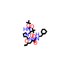 C=CCCC(NC(=O)C1CCCN1C(=O)C(NC(=O)OC(C)(C)C)C(C)(C)C)C(=O)C(=O)NCCC1=CCCCC1